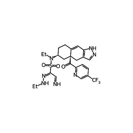 CCN/N=C(\C=N)S(=O)(=O)N(CC)[C@H]1CCC2=Cc3[nH]ncc3C[C@]2(C(=O)c2ccc(C(F)(F)F)cn2)C1